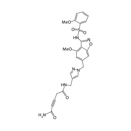 COc1ccccc1S(=O)(=O)Nc1noc2cc(Cn3cc(CNC(=O)CC#CC(N)=O)cn3)cc(OC)c12